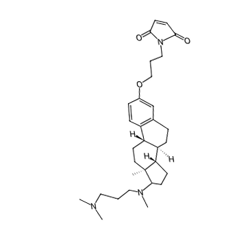 CN(C)CCCN(C)C1CC[C@H]2[C@@H]3CCc4cc(OCCCN5C(=O)C=CC5=O)ccc4[C@H]3CC[C@]12C